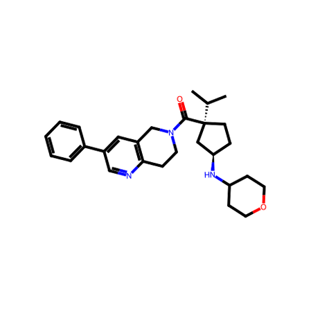 CC(C)[C@]1(C(=O)N2CCc3ncc(-c4ccccc4)cc3C2)CC[C@@H](NC2CCOCC2)C1